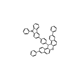 c1ccc(-c2ccc3c4c(ccc3c2)Oc2ccc3cc(-c5ccccc5)ccc3c2C4c2ccc(-c3ccc4c(c3)c3ccccc3n4-c3ccccc3)cc2)cc1